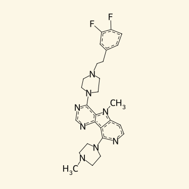 CN1CCN(c2nccc3c2c2ncnc(N4CCN(CCc5ccc(F)c(F)c5)CC4)c2n3C)CC1